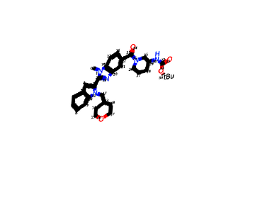 Cn1c(-c2cc3ccccc3n2CC2CCOCC2)nc2cc(C(=O)N3CCCC(NC(=O)OC(C)(C)C)C3)ccc21